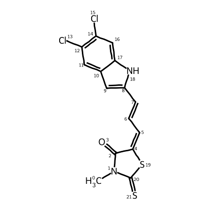 CN1C(=O)/C(=C\C=C\c2cc3cc(Cl)c(Cl)cc3[nH]2)SC1=S